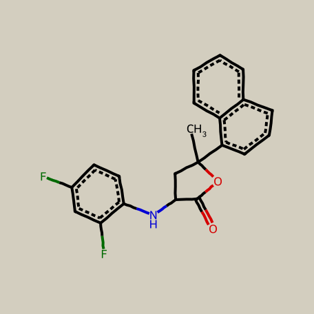 CC1(c2cccc3ccccc23)CC(Nc2ccc(F)cc2F)C(=O)O1